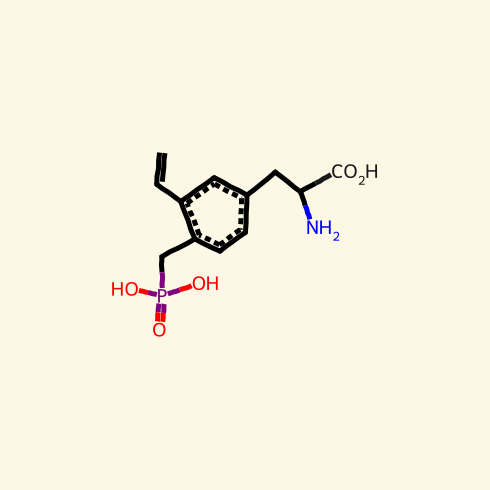 C=Cc1cc(CC(N)C(=O)O)ccc1CP(=O)(O)O